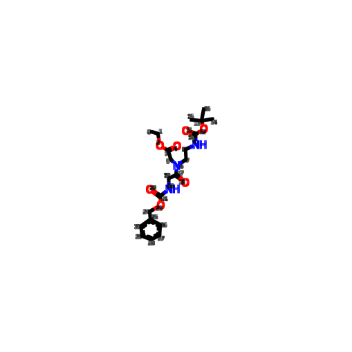 CCOC(=O)CN(CCNC(=O)OC(C)(C)C)C(=O)CNC(=O)OCc1ccccc1